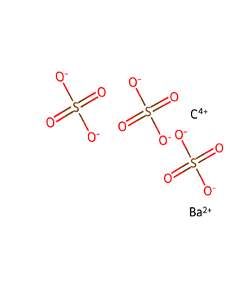 O=S(=O)([O-])[O-].O=S(=O)([O-])[O-].O=S(=O)([O-])[O-].[Ba+2].[C+4]